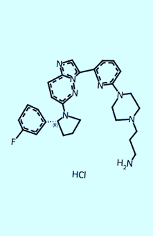 Cl.NCCCN1CCN(c2cccc(-c3cnc4ccc(N5CCC[C@@H]5c5cccc(F)c5)nn34)n2)CC1